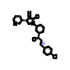 O=C(/C=C/c1ccc(Cl)cc1)c1cccc(-n2cc(-c3cccnc3)[nH]c2=O)c1